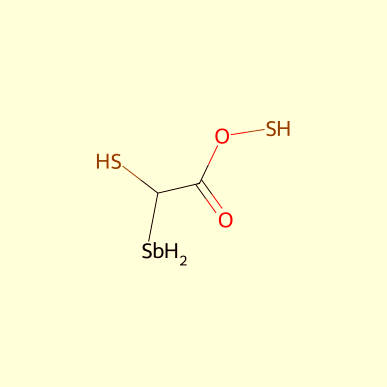 O=C(OS)[CH](S)[SbH2]